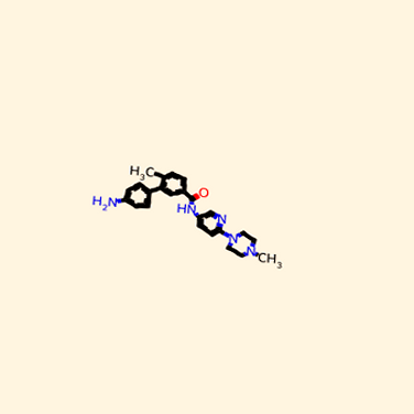 Cc1ccc(C(=O)Nc2ccc(N3CCN(C)CC3)nc2)cc1-c1ccc(N)cc1